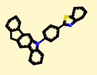 c1ccc2c(c1)Cc1cc3c4ccccc4n(-c4ccc(-c5nc6ccccc6s5)cc4)c3cc1-2